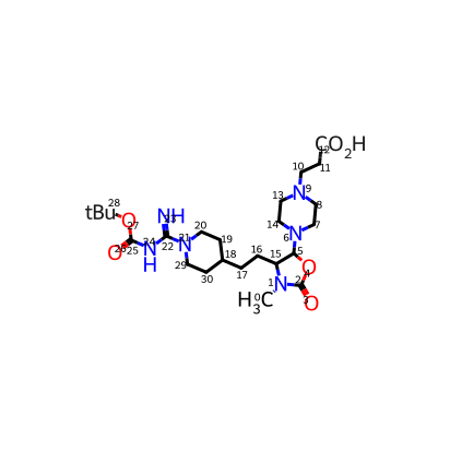 CN1C(=O)OC(N2CCN(CCC(=O)O)CC2)C1CCC1CCN(C(=N)NC(=O)OC(C)(C)C)CC1